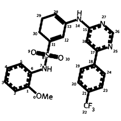 COc1ccccc1NS(=O)(=O)C1=CC(Nc2cc(-c3ccc(C(F)(F)F)cc3)ncn2)=CCC1